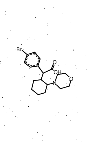 O=C(O)C(c1ccc(Br)cc1)C1CCCCC1N1CCOCC1